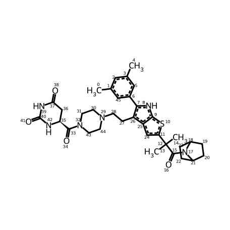 Cc1cc(C)cc(-c2[nH]c3sc(C(C)(C)C(=O)N4C5CCC4CC5)cc3c2CCN2CCN(C(=O)[C@@H]3CC(=O)NC(=O)N3)CC2)c1